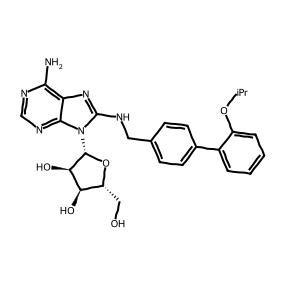 CC(C)Oc1ccccc1-c1ccc(CNc2nc3c(N)ncnc3n2[C@@H]2O[C@H](CO)[C@@H](O)[C@H]2O)cc1